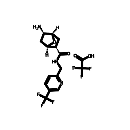 N[C@H]1C[C@H]2O[C@@H]1C[C@@H]2C(=O)NCc1ccc(C(F)(F)F)cn1.O=C(O)C(F)(F)F